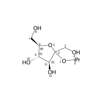 CC(C)OC1(CO)O[C@H](CO)[C@@H](O)[C@@H]1O